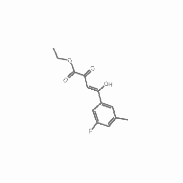 CCOC(=O)C(=O)/C=C(\O)c1cc(C)cc(F)c1